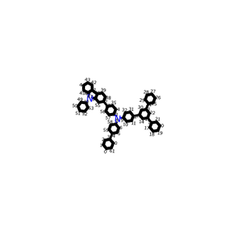 c1ccc(-c2ccc(N(c3ccc(-c4cc(-c5ccccc5)cc(-c5ccccc5)c4)cc3)c3ccc(-c4ccc5c6ccccc6n(-c6ccccc6)c5c4)cc3)cc2)cc1